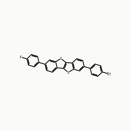 CCc1ccc(-c2ccc3c(c2)sc2c4ccc(-c5ccc(F)cc5)cc4sc32)cc1